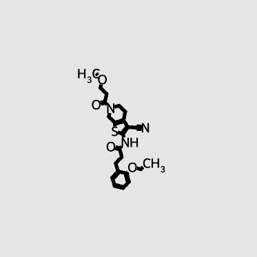 CCOc1ccccc1CCC(=O)Nc1sc2c(c1C#N)CCN(C(=O)CCOC)C2